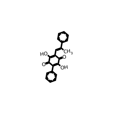 CC(=CC1=C(O)C(=O)C(c2ccccc2)=C(O)C1=O)c1ccccc1